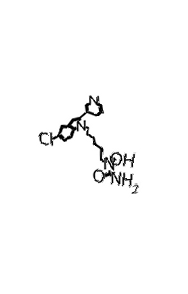 NC(=O)N(O)CCCCCCn1c(-c2cccnc2)cc2cc(Cl)ccc21